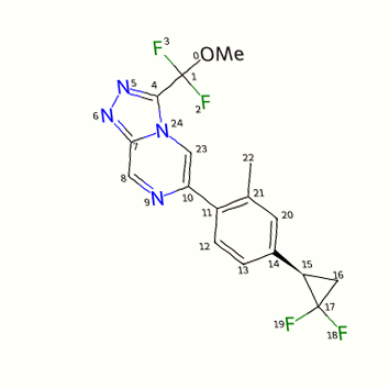 COC(F)(F)c1nnc2cnc(-c3ccc([C@H]4CC4(F)F)cc3C)cn12